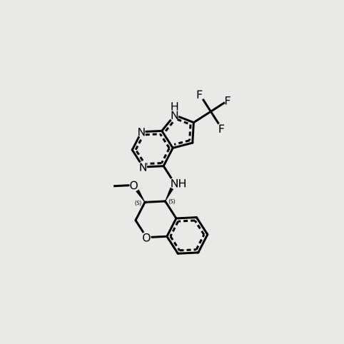 CO[C@@H]1COc2ccccc2[C@@H]1Nc1ncnc2[nH]c(C(F)(F)F)cc12